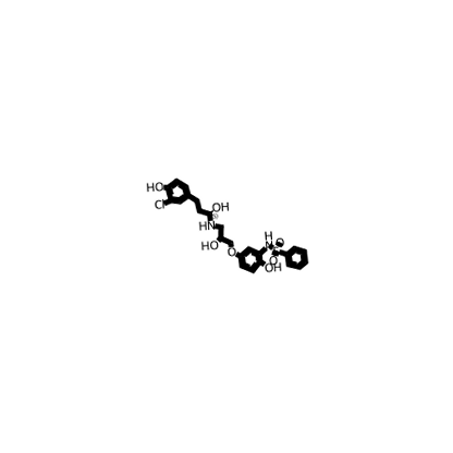 O=S(=O)(Nc1cc(OCC(O)CN[C@@H](O)CCc2ccc(O)c(Cl)c2)ccc1O)c1ccccc1